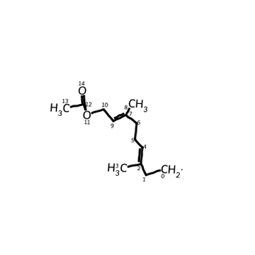 [CH2]CC(C)=CCCC(C)=CCOC(C)=O